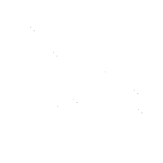 CN(C)C(=O)N(C)c1cnn(-c2cccc3[nH]nc(N)c23)c1